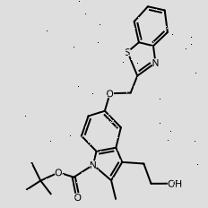 Cc1c(CCO)c2cc(OCc3nc4ccccc4s3)ccc2n1C(=O)OC(C)(C)C